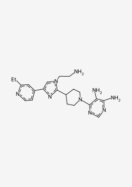 CCc1cc(-c2cn(CCN)c(C3CCN(c4ncnc(N)c4N)CC3)n2)ccn1